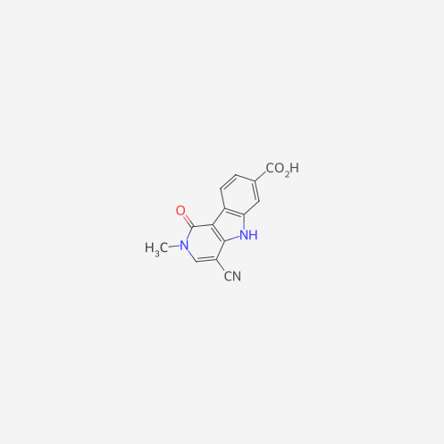 Cn1cc(C#N)c2[nH]c3cc(C(=O)O)ccc3c2c1=O